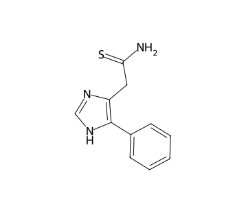 NC(=S)Cc1nc[nH]c1-c1ccccc1